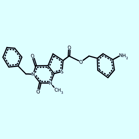 Cn1c(=O)n(Cc2ccccc2)c(=O)c2cc(C(=O)OCc3cccc(N)c3)sc21